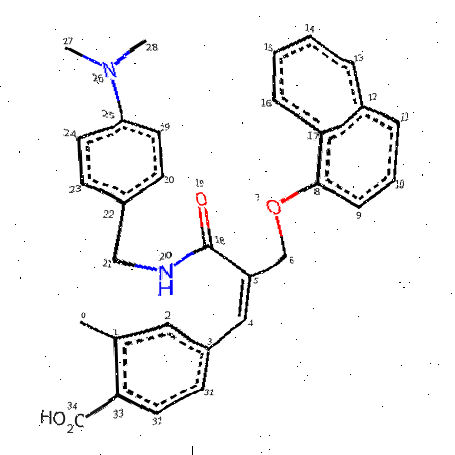 Cc1cc(C=C(COc2cccc3ccccc23)C(=O)NCc2ccc(N(C)C)cc2)ccc1C(=O)O